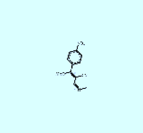 C/N=C\C(C#N)=C(/OC)c1ccc([N+](=O)[O-])cc1